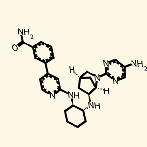 NC(=O)c1cccc(-c2ccnc(N[C@@H]3CCCC[C@H]3N[C@H]3C[C@@H]4C[C@H]3N(c3ncc(N)cn3)C4)c2)c1